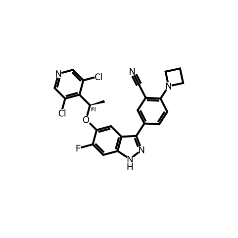 C[C@@H](Oc1cc2c(-c3ccc(N4CCC4)c(C#N)c3)n[nH]c2cc1F)c1c(Cl)cncc1Cl